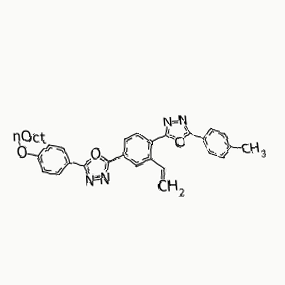 C=Cc1cc(-c2nnc(-c3ccc(OCCCCCCCC)cc3)o2)ccc1-c1nnc(-c2ccc(C)cc2)o1